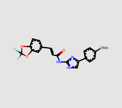 COc1ccc(-c2c[nH]c(NC(=O)C=Cc3ccc4c(c3)OC(F)(F)O4)n2)cc1